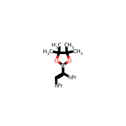 CCC/C=C(\CCC)B1OC(C)(C)C(C)(C)O1